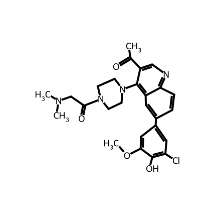 COc1cc(-c2ccc3ncc(C(C)=O)c(N4CCN(C(=O)CN(C)C)CC4)c3c2)cc(Cl)c1O